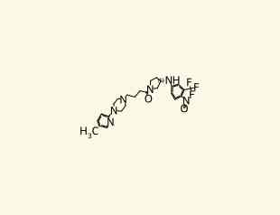 Cc1ccc(N2CCN(CCCC(=O)N3CC[C@H](Nc4ccc(N=O)c(C(F)(F)F)c4)C3)CC2)nc1